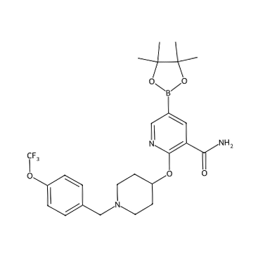 CC1(C)OB(c2cnc(OC3CCN(Cc4ccc(OC(F)(F)F)cc4)CC3)c(C(N)=O)c2)OC1(C)C